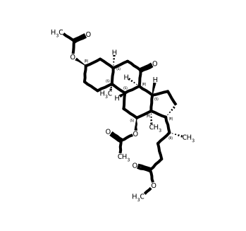 COC(=O)CC[C@@H](C)[C@H]1CC[C@H]2[C@@H]3C(=O)C[C@@H]4C[C@H](OC(C)=O)CC[C@]4(C)[C@H]3C[C@H](OC(C)=O)[C@]12C